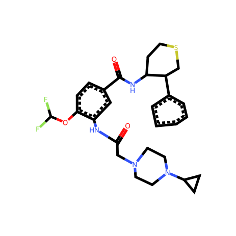 O=C(CN1CCN(C2CC2)CC1)Nc1cc(C(=O)NC2CCSCC2c2ccccc2)ccc1OC(F)F